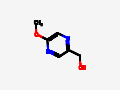 COc1cnc(CO)cn1